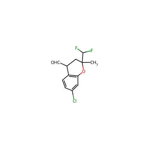 CC1(C(F)F)CC(C=O)c2ccc(Cl)cc2O1